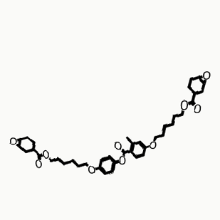 Cc1cc(OCCCCCCOC(=O)C2CCC3OC3C2)ccc1C(=O)Oc1ccc(OCCCCCCOC(=O)C2CCC3OC3C2)cc1